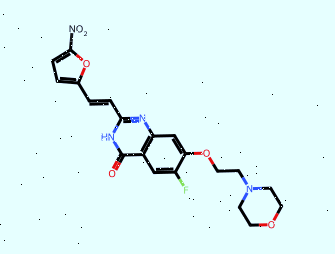 O=c1[nH]c(/C=C/c2ccc([N+](=O)[O-])o2)nc2cc(OCCN3CCOCC3)c(F)cc12